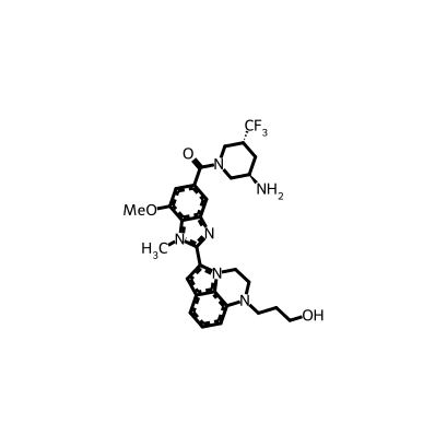 COc1cc(C(=O)N2C[C@H](N)C[C@@H](C(F)(F)F)C2)cc2nc(-c3cc4cccc5c4n3CCN5CCCO)n(C)c12